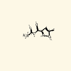 Cc1cc(C(=O)OC(N)=O)no1